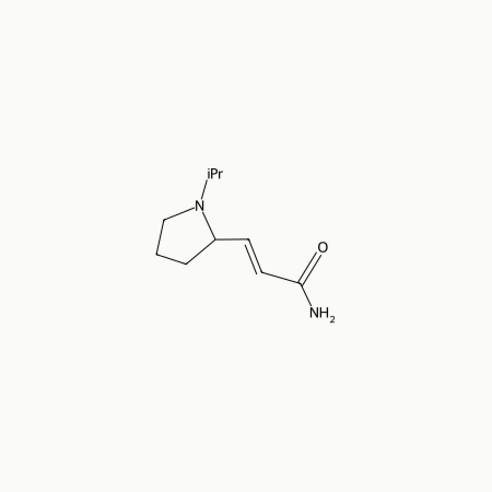 CC(C)N1CCCC1C=CC(N)=O